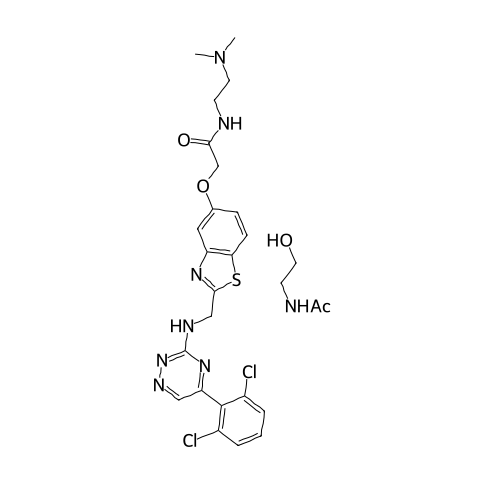 CC(=O)NCCO.CN(C)CCNC(=O)COc1ccc2sc(CNc3nncc(-c4c(Cl)cccc4Cl)n3)nc2c1